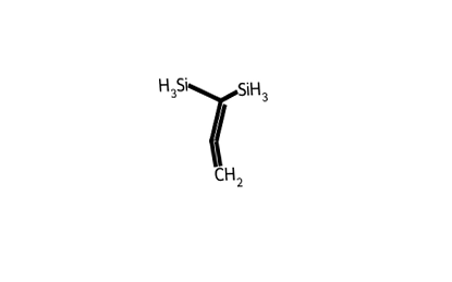 C=C=C([SiH3])[SiH3]